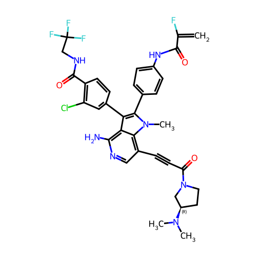 C=C(F)C(=O)Nc1ccc(-c2c(-c3ccc(C(=O)NCC(F)(F)F)c(Cl)c3)c3c(N)ncc(C#CC(=O)N4CC[C@@H](N(C)C)C4)c3n2C)cc1